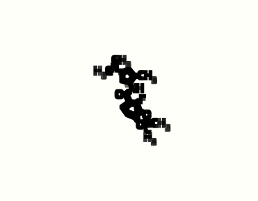 CC1C[C@@H](N(C)C)C[C@@H]1NC(=O)c1ccc2c(c1F)OC(C)(C)O2